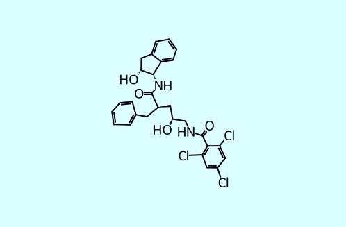 O=C(NC[C@@H](O)C[C@@H](Cc1ccccc1)C(=O)N[C@H]1c2ccccc2C[C@H]1O)c1c(Cl)cc(Cl)cc1Cl